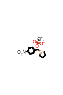 O=S(=O)([O-])C(F)(F)F.O=[N+]([O-])c1ccc(C[S+]2CCCC2)cc1